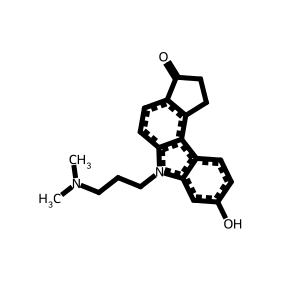 CN(C)CCCn1c2cc(O)ccc2c2c3c(ccc21)C(=O)CC3